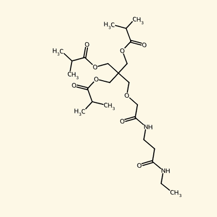 CCNC(=O)CCNC(=O)COCC(COC(=O)C(C)C)(COC(=O)C(C)C)COC(=O)C(C)C